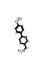 CCOc1ccc(C2CCC(CN)CC2)cc1